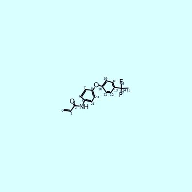 C=CC(=O)Nc1ccc(Oc2ccc(C(C)(F)F)cc2)cc1